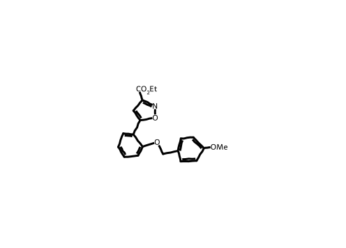 CCOC(=O)c1cc(-c2ccccc2OCc2ccc(OC)cc2)on1